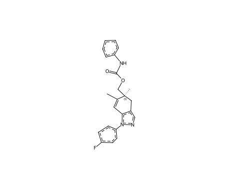 CC1=Cc2c(cnn2-c2ccc(F)cc2)C[C@]1(C)COC(=O)Nc1ccccc1